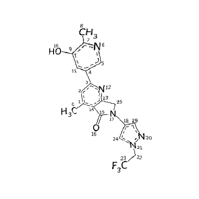 Cc1cc(-c2cnc(C)c(O)c2)nc2c1C(=O)N(c1cnn(CC(F)(F)F)c1)C2